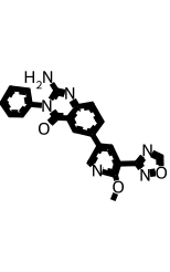 COc1ncc(-c2ccc3nc(N)n(-c4ccccc4)c(=O)c3c2)cc1-c1ncon1